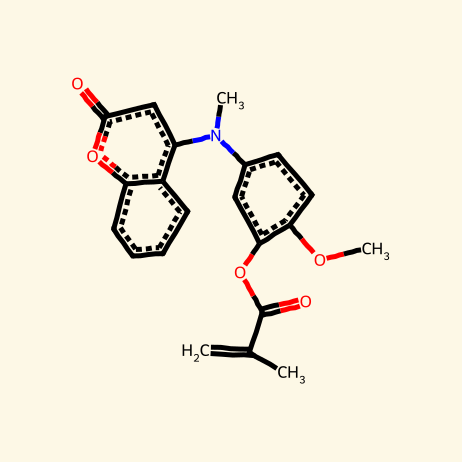 C=C(C)C(=O)Oc1cc(N(C)c2cc(=O)oc3ccccc23)ccc1OC